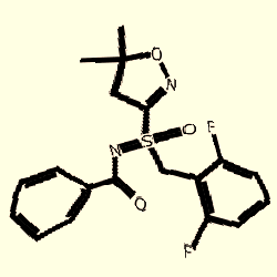 CC1(C)CC(S(=O)(Cc2c(F)cccc2F)=NC(=O)c2ccccc2)=NO1